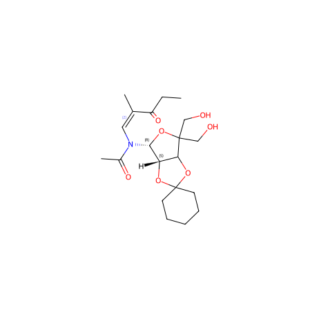 CCC(=O)/C(C)=C\N(C(C)=O)[C@@H]1OC(CO)(CO)C2OC3(CCCCC3)O[C@@H]21